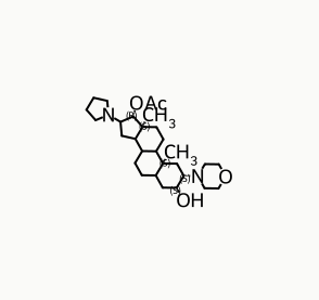 CC(=O)O[C@H]1C(N2CCCC2)CC2C3CCC4C[C@H](O)[C@@H](N5CCOCC5)C[C@]4(C)C3CC[C@@]21C